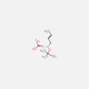 CC=CCOOC(C)(C)C.O=C(O)O